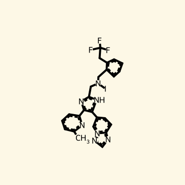 Cc1cccc(-c2nc(CN(I)Cc3ccccc3CC(F)(F)F)[nH]c2-c2ccc3ncnn3c2)n1